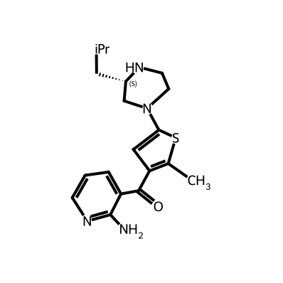 Cc1sc(N2CCN[C@@H](CC(C)C)C2)cc1C(=O)c1cccnc1N